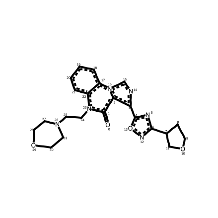 O=c1c2c(-c3nc(C4CCOC4)no3)ncn2c2ccccc2n1CCN1CCOCC1